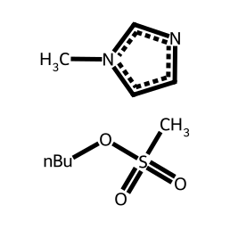 CCCCOS(C)(=O)=O.Cn1ccnc1